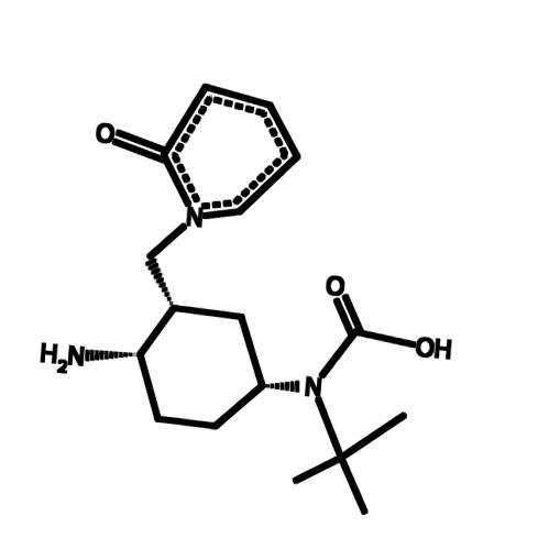 CC(C)(C)N(C(=O)O)[C@@H]1CC[C@H](N)[C@H](Cn2ccccc2=O)C1